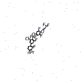 CCCc1ccc(-c2cc(F)c(C(F)(F)Oc3cc(F)c(O/C=C/C(F)F)c(F)c3)c(Cl)c2)c(F)c1